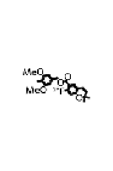 COc1cc(COC(=O)c2cc3c(cc2[18F])OC(C)(C)C=C3)cc(OC)c1C